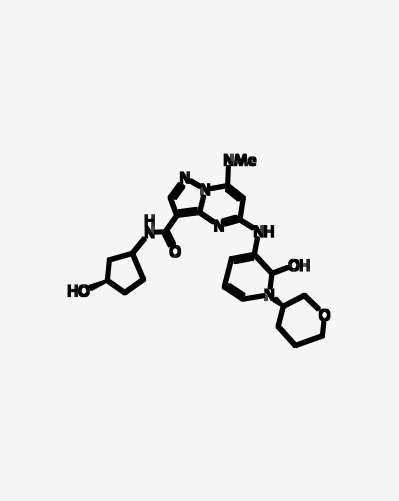 CNc1cc(NC2=CC=CN([C@@H]3CCCOC3)C2O)nc2c(C(=O)NC3CC[C@@H](O)C3)cnn12